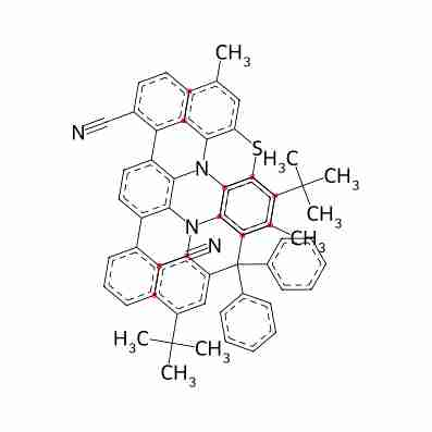 Cc1ccc2c(c1)Sc1cc(C)ccc1N2c1c(-c2ccccc2C#N)ccc(-c2ccccc2C#N)c1N1c2ccc(C(C)(C)C)cc2C(c2ccccc2)(c2ccccc2)c2cc(C(C)(C)C)ccc21